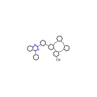 N#Cc1ccc2c(c1)Cc1ccccc1Cc1ccccc1Cc1cc(-c3cccc(-c4nc(-c5ccccc5)c5ccccc5n4)c3)ccc1-2